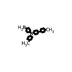 Bc1ccc(N(c2ccc(C)cc2)c2ccc(-c3ccc(C)cc3)cc2)cc1